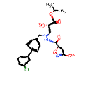 CC(C)OC(=O)[C@@H](O)CN(Cc1ccc(-c2cccc(Cl)c2)cc1)NC(=O)c1cc(O)no1